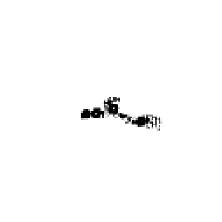 CC(C)(C)c1ccc(/C=N/OCCCOc2ccc(C(=O)O)c(NC(=O)c3ccc(-c4ccccc4)cc3)c2)cc1